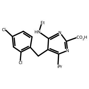 CCNc1nc(C(=O)O)nc(C(C)C)c1Cc1ccc(Cl)cc1Cl